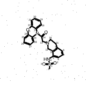 CS(=O)(=O)Nc1cccc2c1CN(CC(=O)N1c3ccccc3Oc3ccccc31)CC2